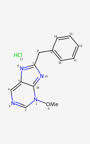 COn1cncc2nc(Cc3ccccc3)nc1-2.Cl